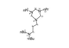 CCCCN(CCCC)CCCN1CN(CCC)CN(CCC)C1